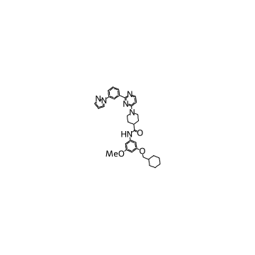 COc1cc(NC(=O)C2CCN(c3ccnc(-c4cccc(-n5cccn5)c4)n3)CC2)cc(OCC2CCCCC2)c1